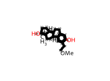 COCCc1cc2c(cc1O)CC[C@@H]1[C@@H]2CC[C@]2(C)[C@@H](O)CC[C@@H]12